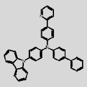 c1ccc(-c2ccc(N(c3ccc(-c4ccccn4)cc3)c3ccc(-n4c5ccccc5c5ccccc54)cc3)cc2)cc1